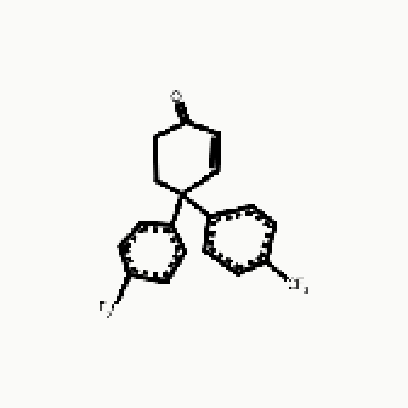 O=C1C=CC(c2ccc(C(F)(F)F)cc2)(c2ccc(C(F)(F)F)cc2)CC1